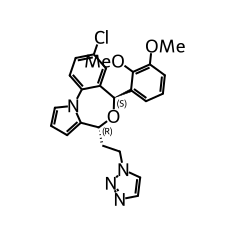 COc1cccc([C@H]2O[C@H](CCn3ccnn3)c3cccn3-c3ccc(Cl)cc32)c1OC